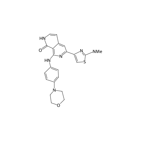 CNc1nc(-c2cc3cc[nH]c(=O)c3c(Nc3ccc(N4CCOCC4)cc3)n2)cs1